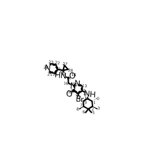 C[C@@H]1[C@@H](C)C(C)(C)[C@@H](C)C[C@H]1Nc1cnn(CC(=O)NC2(c3ccncc3)CC2)c(=O)c1Br